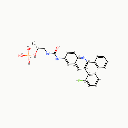 CC[C@H](CNC(=O)Nc1ccc2nc(-c3ccccc3)c(-c3ccccc3F)cc2c1)OP(=O)(O)O